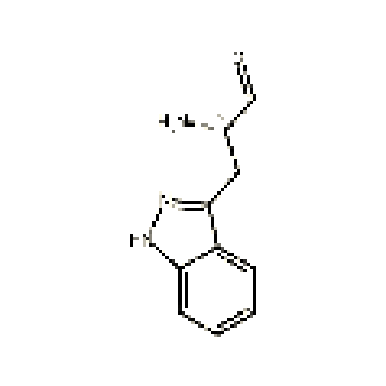 N[C@H](C=O)Cc1n[nH]c2ccccc12